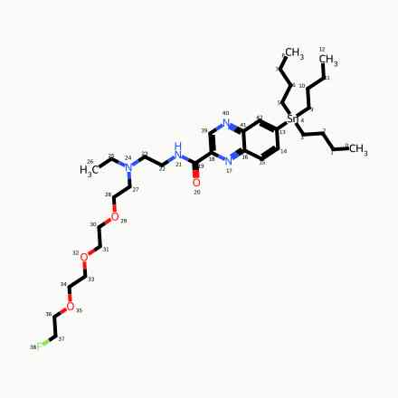 CCC[CH2][Sn]([CH2]CCC)([CH2]CCC)[c]1ccc2nc(C(=O)NCCN(CC)CCOCCOCCOCCF)cnc2c1